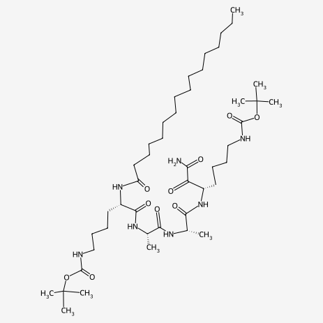 CCCCCCCCCCCCCCCC(=O)N[C@@H](CCCCNC(=O)OC(C)(C)C)C(=O)N[C@@H](C)C(=O)N[C@@H](C)C(=O)N[C@@H](CCCCNC(=O)OC(C)(C)C)C(=O)C(N)=O